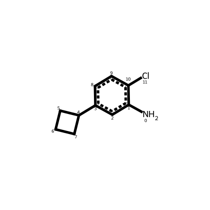 Nc1cc(C2CCC2)ccc1Cl